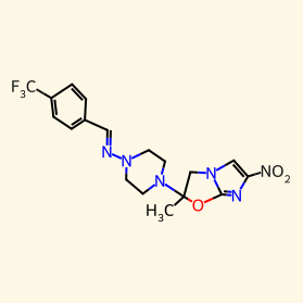 CC1(N2CCN(N=Cc3ccc(C(F)(F)F)cc3)CC2)Cn2cc([N+](=O)[O-])nc2O1